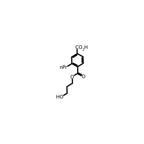 CCCc1cc(C(=O)O)ccc1C(=O)OCCCO